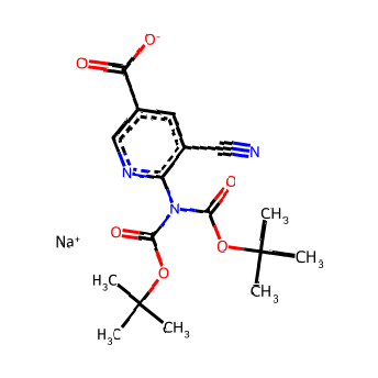 CC(C)(C)OC(=O)N(C(=O)OC(C)(C)C)c1ncc(C(=O)[O-])cc1C#N.[Na+]